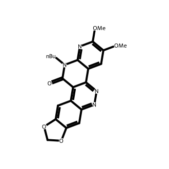 CCCCn1c(=O)c2c3cc4c(cc3nnc2c2cc(OC)c(OC)nc21)OCO4